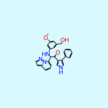 COc1cc(CO)cc(NC(C(=O)c2c[nH]cc2-c2ccccc2)c2cccc3ccnn23)c1